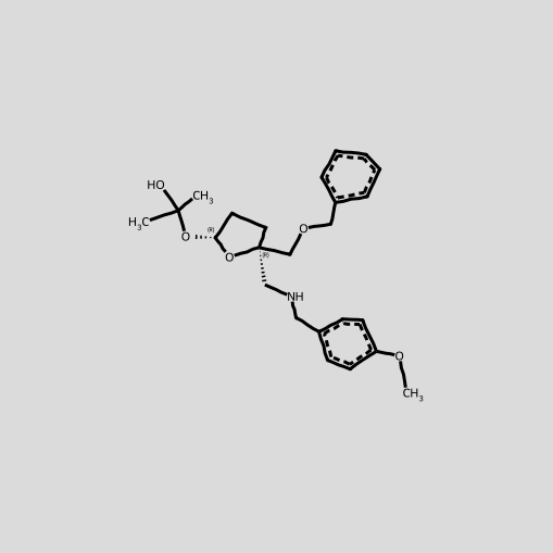 COc1ccc(CNC[C@@]2(COCc3ccccc3)CC[C@@H](OC(C)(C)O)O2)cc1